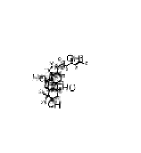 CC(C)=CC(O)C[C@@H](C)[C@H]1CC[C@@]2(C)[C@@H]3[C@@H](O)C=C4[C@@H](CC[C@H](O)C4(C)C)[C@]3(C=O)CC[C@]12C